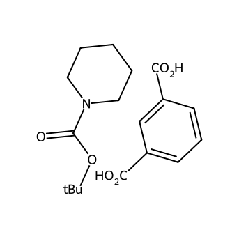 CC(C)(C)OC(=O)N1CCCCC1.O=C(O)c1cccc(C(=O)O)c1